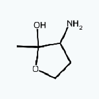 CC1(O)OCCC1N